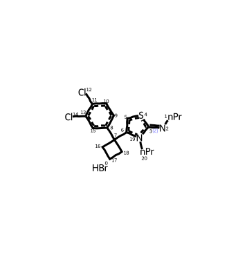 Br.CCC/N=c1\scc(C2(c3ccc(Cl)c(Cl)c3)CCC2)n1CCC